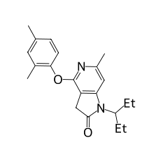 CCC(CC)N1C(=O)Cc2c1cc(C)nc2Oc1ccc(C)cc1C